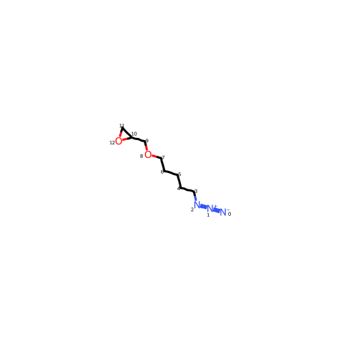 [N-]=[N+]=NCCCCCOCC1CO1